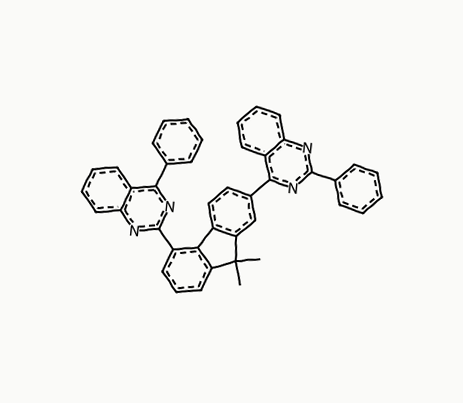 CC1(C)c2cc(-c3nc(-c4ccccc4)nc4ccccc34)ccc2-c2c(-c3nc(-c4ccccc4)c4ccccc4n3)cccc21